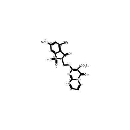 CCOC(=O)c1c(OCN2C(=O)c3c(C(C)C)cc(OC)cc3S2(=O)=O)nc2ncccn2c1=O